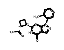 Cc1ccncc1-n1ncc2c(=O)[nH]c([C@@H]3CC[C@H]3C(=N)N)nc21